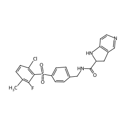 Cc1ccc(Cl)c(S(=O)(=O)c2ccc(CNC(=O)C3Cc4cnccc4N3)cc2)c1F